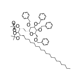 CCCCCCCCCCCCCCCCCCC[C@H]1OC(C)(C)O[C@H]1[C@@H](CC[C@H]1O[C@H](COCc2ccccc2)[C@H](OCc2ccccc2)[C@H](OCc2ccccc2)[C@H]1OCc1ccccc1)OS(C)(=O)=O